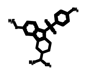 CSc1ccc2c(c1)c1c(n2S(=O)(=O)c2ccc(C)cc2)CCC(N(C)C)C1